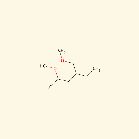 CCC(COC)CC(C)OC